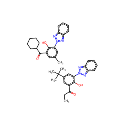 CCC(=O)c1cc(C(C)(C)C)cc(-n2nc3ccccc3n2)c1O.Cc1cc(C(=O)C2CCCCC2)c(O)c(-n2nc3ccccc3n2)c1